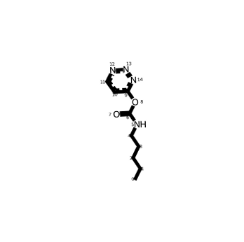 CCCCCNC(=O)Oc1ccnnn1